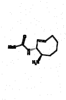 CSC(=O)N[C@@H]1/C=C/CCCC[C@H]1N